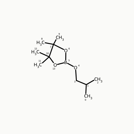 CC(C)COB1OC(C)(C)C(C)(C)O1